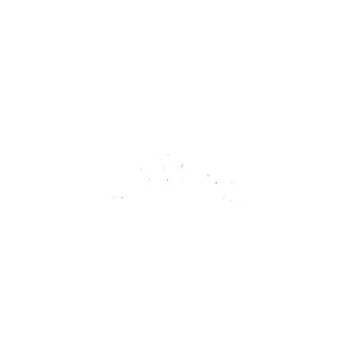 COCCN1CCOC2(CCN(CCOC3CC(OC)C3)CC2)C1